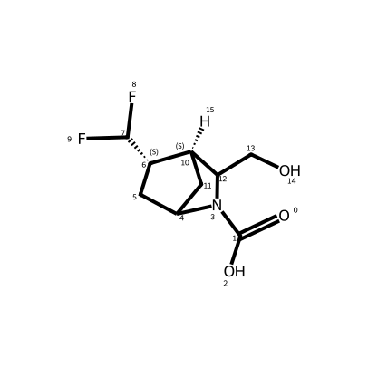 O=C(O)N1C2C[C@H](C(F)F)[C@H](C2)C1CO